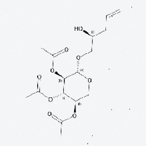 C=CC[C@H](O)CO[C@@H]1OC[C@@H](OC(C)=O)[C@H](OC(C)=O)[C@H]1OC(C)=O